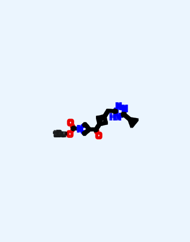 CC(C)(C)OC(=O)N1CC(C(=O)C23CC(Cc4nnc(C5CC5)[nH]4)(C2)C3)C1